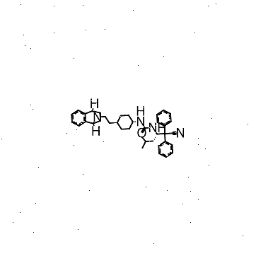 CC(C)C[C@H](NC(=O)N[C@H]1CC[C@H](CCN2[C@@H]3CC[C@H]2c2ccccc23)CC1)C(C#N)(c1ccccc1)c1ccccc1